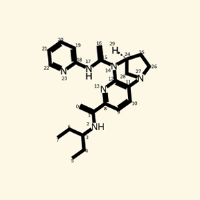 C=C(NC(CC)CC)c1ccc2c(n1)N(C(=C)Nc1ccccn1)[C@H]1CCN2C1